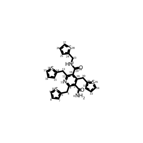 NC(=O)c1c(Cc2cccs2)nc(Cc2cccs2)c(C(=O)NCc2cccs2)c1Cc1cccs1